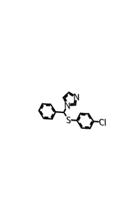 Clc1ccc(SC(c2ccccc2)n2ccnc2)cc1